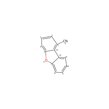 N#Cc1cccc2oc3cc[c]cc3c12